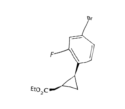 CCOC(=O)[C@@H]1C[C@@H]1c1ccc(Br)cc1F